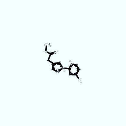 COC(=O)Cc1cnn(-c2cc(Cl)ccn2)c1